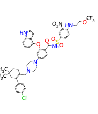 CC1(C)CCC(CN2CCN(c3ccc(C(=O)NS(=O)(=O)c4ccc(NCCOC(F)(F)F)c([N+](=O)[O-])c4)c(Oc4cccc5[nH]ccc45)c3)CC2)=C(c2ccc(Cl)cc2)C1